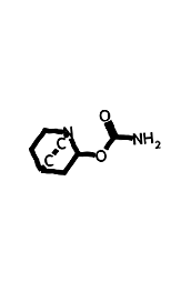 NC(=O)OC1CC2CCN1CC2